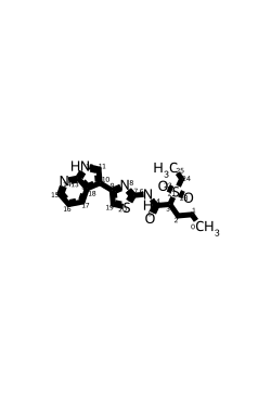 CCCC(C(=O)Nc1nc(-c2c[nH]c3ncccc23)cs1)S(=O)(=O)CC